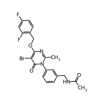 CC(=O)NCc1cccc(-n2c(C)nc(OCc3ccc(F)cc3F)c(Br)c2=O)c1